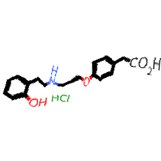 Cl.O=C(O)Cc1ccc(OCCNCCc2ccccc2O)cc1